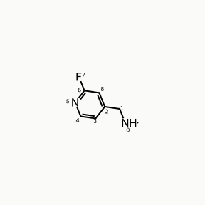 [NH]Cc1ccnc(F)c1